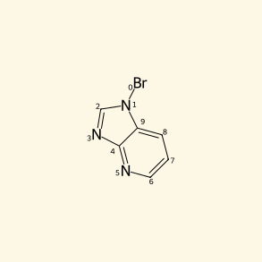 Brn1cnc2ncccc21